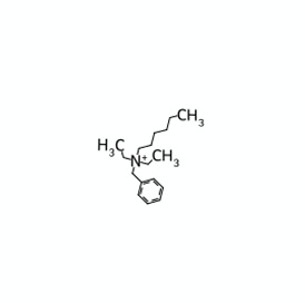 CCCCCC[N+](CC)(CC)Cc1ccccc1